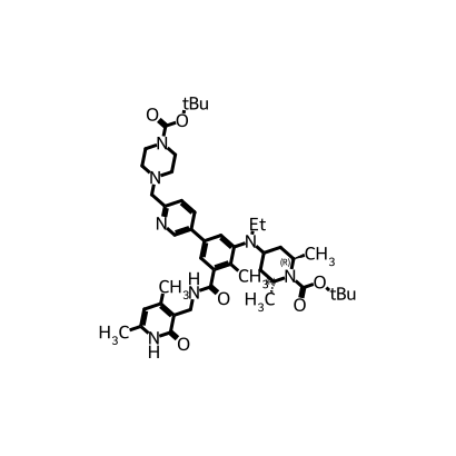 CCN(c1cc(-c2ccc(CN3CCN(C(=O)OC(C)(C)C)CC3)nc2)cc(C(=O)NCc2c(C)cc(C)[nH]c2=O)c1C)C1C[C@@H](C)N(C(=O)OC(C)(C)C)[C@H](C)C1